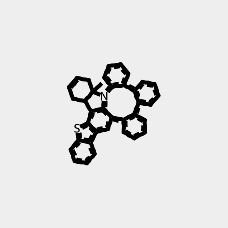 CC12CC=CCC1c1c3sc4ccccc4c3cc3c4ccccc4c4ccccc4c4ccccc4n2c13